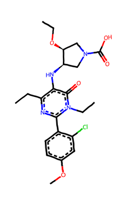 CCO[C@H]1CN(C(=O)O)C[C@H]1Nc1c(CC)nc(-c2ccc(OC)cc2Cl)n(CC)c1=O